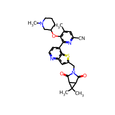 Cc1cc(C#N)nc(-c2ccnc3cc(CN4C(=O)C5C(C4=O)C5(C)C)sc23)c1OC1CCCN(C)C1